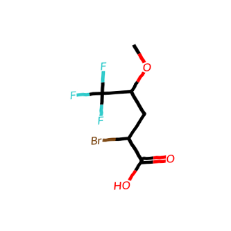 COC(CC(Br)C(=O)O)C(F)(F)F